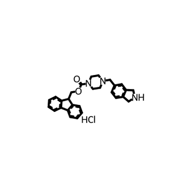 Cl.O=C(OCC1c2ccccc2-c2ccccc21)N1CCN(Cc2ccc3c(c2)CNC3)CC1